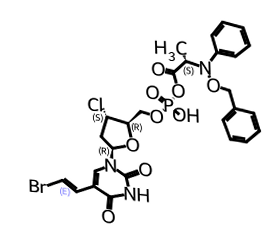 C[C@@H](C(=O)OP(=O)(O)OC[C@H]1O[C@@H](n2cc(/C=C/Br)c(=O)[nH]c2=O)C[C@@H]1Cl)N(OCc1ccccc1)c1ccccc1